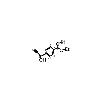 C#CC(O)c1ccc(C(OCC)OCC)cc1